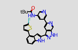 CC(C)(C)C(=O)Nc1cncc(-c2cc3c(-c4cc5c(-c6ccc(F)s6)cccc5[nH]4)n[nH]c3cn2)c1